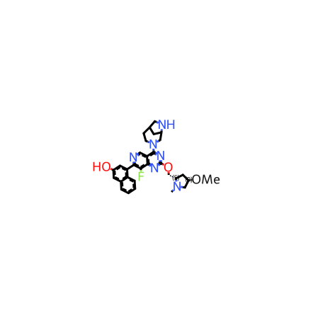 CO[C@@H]1C[C@@H](COc2nc(N3CCC4CNC(C4)C3)c3cnc(-c4cc(O)cc5ccccc45)c(F)c3n2)N(C)C1